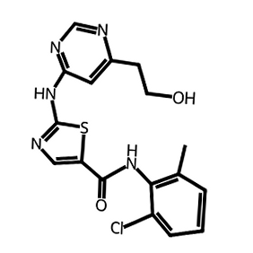 Cc1cccc(Cl)c1NC(=O)c1cnc(Nc2cc(CCO)ncn2)s1